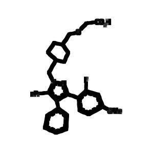 CCCc1c(-c2ccccc2)c(-c2ccc(OC)cc2F)nn1CC1CCC(COCC(=O)O)CC1